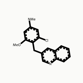 CNc1cc(Cl)c(Cc2cnc3ccccc3c2)c(OC)c1